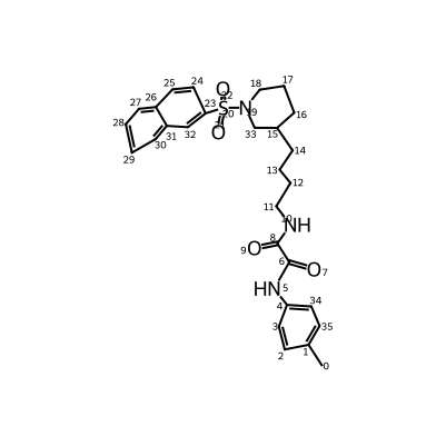 Cc1ccc(NC(=O)C(=O)NCCCCC2CCCN(S(=O)(=O)c3ccc4ccccc4c3)C2)cc1